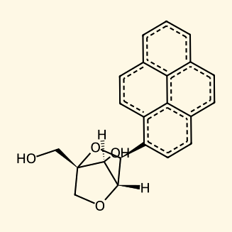 OC[C@@]12CO[C@@H]([C@H](c3ccc4ccc5cccc6ccc3c4c56)O1)[C@@H]2O